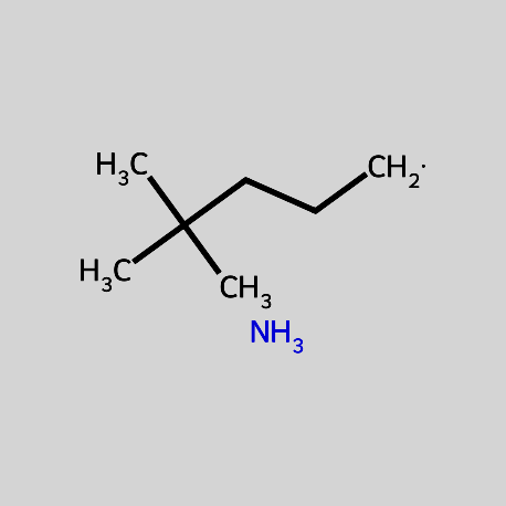 N.[CH2]CCC(C)(C)C